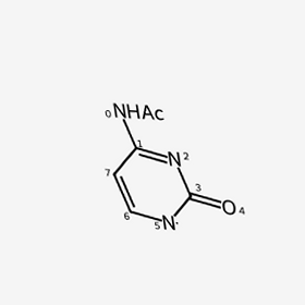 CC(=O)NC1=NC(=O)[N]C=C1